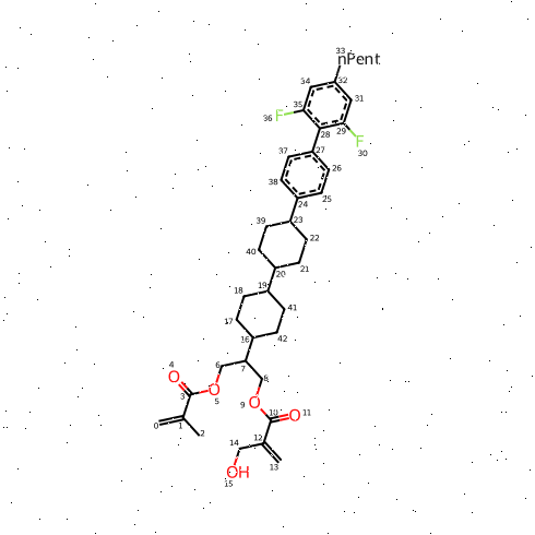 C=C(C)C(=O)OCC(COC(=O)C(=C)CO)C1CCC(C2CCC(c3ccc(-c4c(F)cc(CCCCC)cc4F)cc3)CC2)CC1